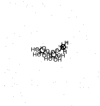 CC1(C)[C@H]2CC=C(CO[C@H]3O[C@H](CO[C@@H]4OC[C@H](O)[C@H](O)[C@H]4O)[C@@H](O)[C@H](O)[C@H]3O)[C@@H]1C2